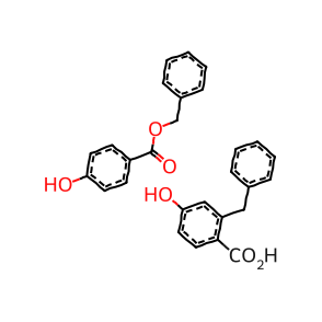 O=C(O)c1ccc(O)cc1Cc1ccccc1.O=C(OCc1ccccc1)c1ccc(O)cc1